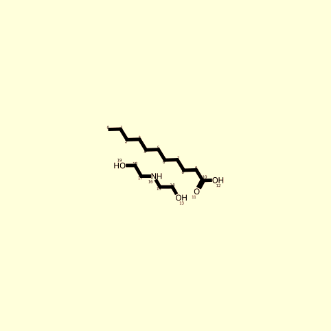 CCCCCCCCCCC(=O)O.OCCNCCO